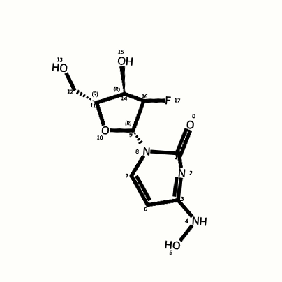 O=c1nc(NO)ccn1[C@@H]1O[C@H](CO)[C@@H](O)C1F